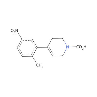 Cc1ccc([N+](=O)[O-])cc1C1=CCN(C(=O)O)CC1